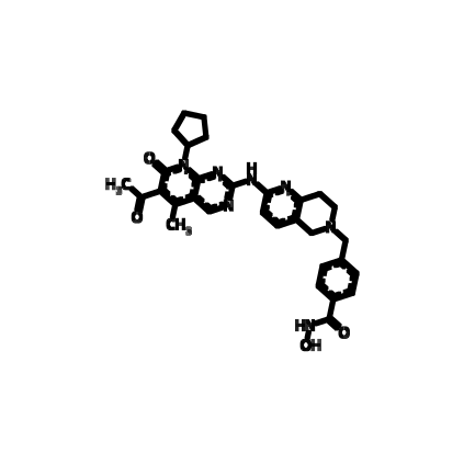 CC(=O)c1c(C)c2cnc(Nc3ccc4c(n3)CCN(Cc3ccc(C(=O)NO)cc3)C4)nc2n(C2CCCC2)c1=O